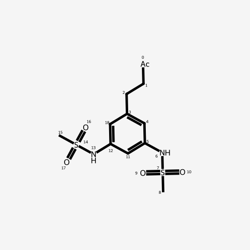 CC(=O)CCc1cc(NS(C)(=O)=O)cc(NS(C)(=O)=O)c1